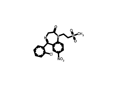 CS(=O)(=O)CCN1C(=O)CN=C(c2ccccc2Cl)c2cc([N+](=O)[O-])ccc21